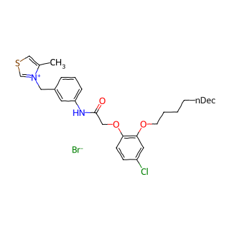 CCCCCCCCCCCCCCOc1cc(Cl)ccc1OCC(=O)Nc1cccc(C[n+]2cscc2C)c1.[Br-]